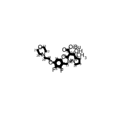 CC(C)COC(=O)C1=C(O)[C@]2(C)CCCN2N(Cc2ccc(OCCN3CCOCC3)c(F)c2F)C1=O